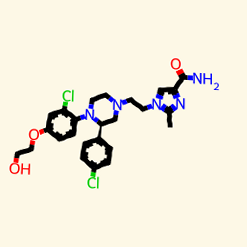 Cc1nc(C(N)=O)cn1CCN1CCN(c2ccc(OCCO)cc2Cl)[C@H](c2ccc(Cl)cc2)C1